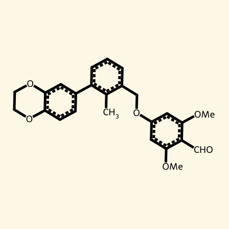 COc1cc(OCc2cccc(-c3ccc4c(c3)OCCO4)c2C)cc(OC)c1C=O